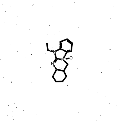 CCN1C2=NC3CCCCC3C[N+]2([O-])c2ccccc21